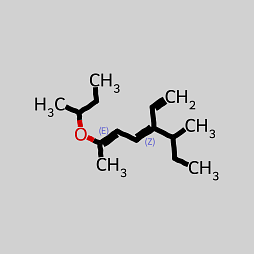 C=C/C(=C\C=C(/C)OC(C)CC)C(C)CC